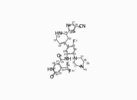 C[C@@H]1CN(c2cc(F)c(C3=CCCNC(c4ncc(C#N)s4)C3)cc2NC(=O)c2c[nH]c(=O)cc2C(F)F)C[C@H](C)N1C